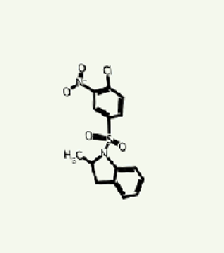 CC1Cc2ccccc2N1S(=O)(=O)c1ccc(Cl)c([N+](=O)[O-])c1